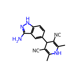 [C-]#[N+]C1=C(C)NC(C)=C(C#N)C1c1ccc2[nH]nc(N)c2c1